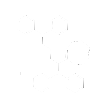 C1=CCCC(C(CCCP(c2ccccc2)c2ccccc2)P(c2ccccc2)c2ccccc2)=CCC1.[Rh]